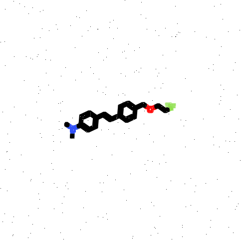 CN(C)c1ccc(/C=C/c2ccc(COCC[18F])cc2)cc1